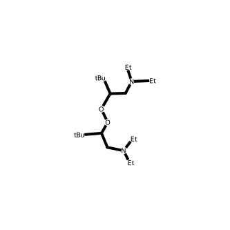 CCN(CC)CC(OOC(CN(CC)CC)C(C)(C)C)C(C)(C)C